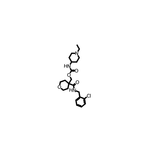 CCN1CCC(NC(=O)OCC2(C(=O)NCc3ccccc3Cl)CCOCC2)CC1